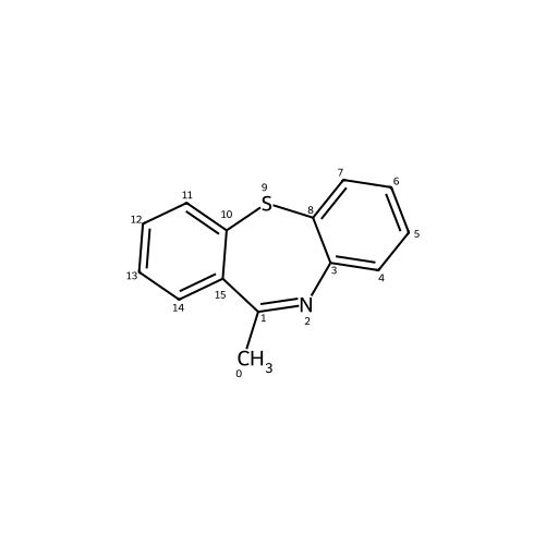 CC1=Nc2ccccc2Sc2ccccc21